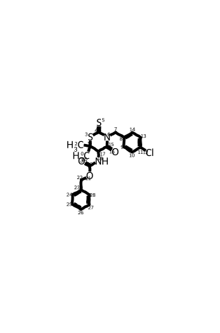 CC1(C)SC(=S)N(Cc2ccc(Cl)cc2)C(=O)C1NC(=O)OCc1ccccc1